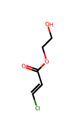 O=C(C=CCl)OCCO